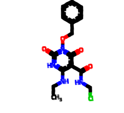 CCNc1[nH]c(=O)n(OCc2ccccc2)c(=O)c1C(=O)NCCl